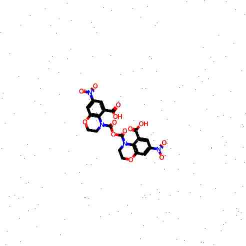 O=C(O)c1cc([N+](=O)[O-])cc2c1N(C(=O)OC(=O)N1CCOc3cc([N+](=O)[O-])cc(C(=O)O)c31)CCO2